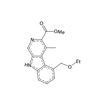 CCOCc1cccc2[nH]c3cnc(C(=O)OC)c(C)c3c12